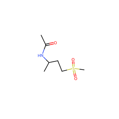 CC(=O)NC(C)CCS(C)(=O)=O